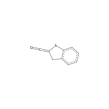 O=C=C1Cc2ccccc2S1